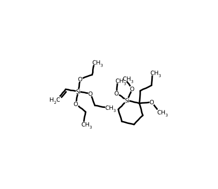 C=C[Si](OCC)(OCC)OCC.CCCC1(OC)CCCC[Si]1(OC)OC